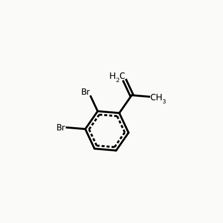 C=C(C)c1cccc(Br)c1Br